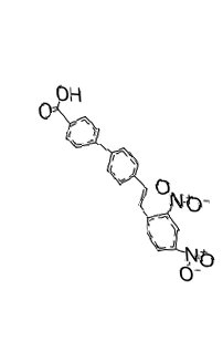 O=C(O)c1ccc(-c2ccc(/C=C/c3ccc([N+](=O)[O-])cc3[N+](=O)[O-])cc2)cc1